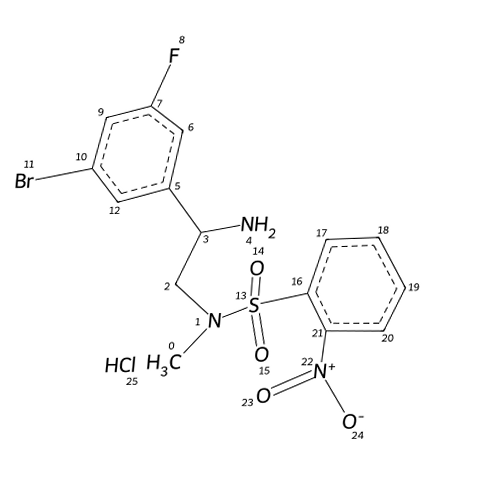 CN(CC(N)c1cc(F)cc(Br)c1)S(=O)(=O)c1ccccc1[N+](=O)[O-].Cl